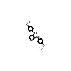 COc1ccc(Nc2ccccc2Nc2ccc(OC)cc2)cc1